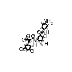 Cl.Nc1ccc(NC(=O)c2cc(NC(=O)[C@H]3[C@H](c4cc(Cl)cc(Cl)c4)C3(Cl)Cl)ccc2Cl)cc1